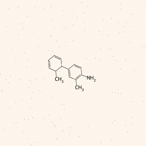 Cc1cc(C2C=CC=CC2C)ccc1N